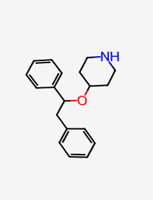 c1ccc(CC(OC2CCNCC2)c2ccccc2)cc1